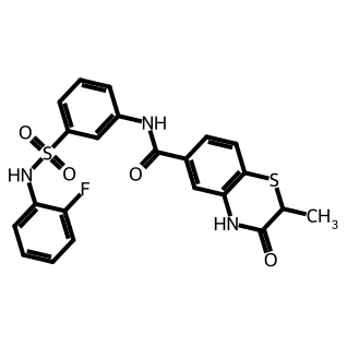 CC1Sc2ccc(C(=O)Nc3cccc(S(=O)(=O)Nc4ccccc4F)c3)cc2NC1=O